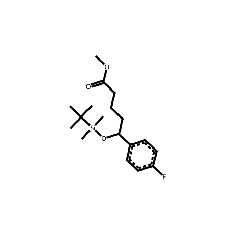 COC(=O)CCCC(O[Si](C)(C)C(C)(C)C)c1ccc(F)cc1